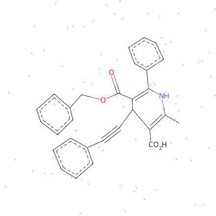 CC1=C(C(=O)O)C(C#Cc2ccccc2)C(C(=O)OCc2ccccc2)=C(c2ccccc2)N1